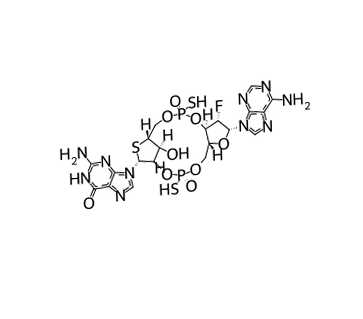 Nc1nc2c(ncn2[C@@H]2S[C@@H]3COP(=O)(S)O[C@H]4[C@H](F)[C@H](n5cnc6c(N)ncnc65)O[C@@H]4COP(=O)(S)O[C@@H]2[C@@H]3O)c(=O)[nH]1